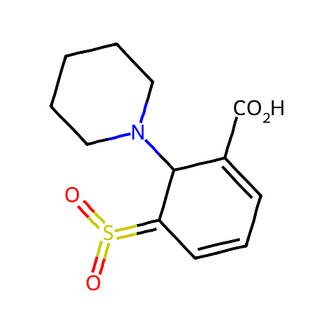 O=C(O)C1=CC=CC(=S(=O)=O)C1N1CCCCC1